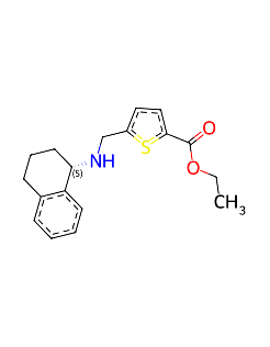 CCOC(=O)c1ccc(CN[C@H]2CCCc3ccccc32)s1